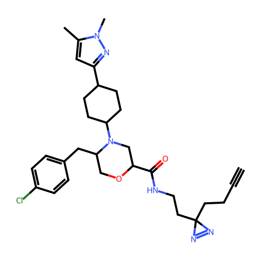 C#CCCC1(CCNC(=O)C2CN(C3CCC(c4cc(C)n(C)n4)CC3)C(Cc3ccc(Cl)cc3)CO2)N=N1